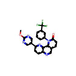 COc1ncc(-c2ccc3ncc4ccc(=O)n(-c5cccc(C(F)(F)F)c5)c4c3n2)cn1